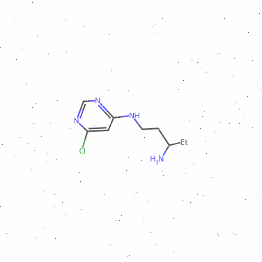 CCC(N)CCNc1cc(Cl)ncn1